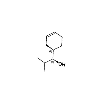 CC(C)[C@H](O)[C@H]1CC=CCC1